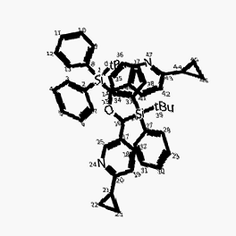 CC(C)(C)[Si](c1ccccc1)(c1ccccc1)C(OC(c1ccc(C2CC2)nc1)[Si](c1ccccc1)(c1ccccc1)C(C)(C)C)c1ccc(C2CC2)nc1